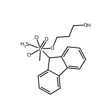 [CH3][Zr](=[O])([SiH3])([Cl])([Cl])([O]CCCO)[CH]1c2ccccc2-c2ccccc21